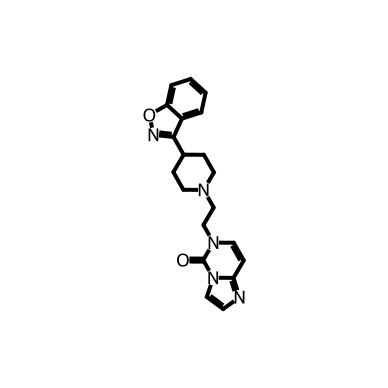 O=c1n(CCN2CCC(c3noc4ccccc34)CC2)ccc2nccn12